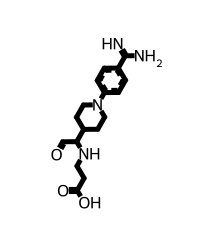 N=C(N)c1ccc(N2CCC(C(C=O)NCCC(=O)O)CC2)cc1